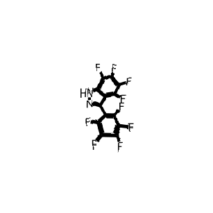 Fc1c(F)c(F)c(-c2n[nH]c3c(F)c(F)c(F)c(F)c23)c(F)c1F